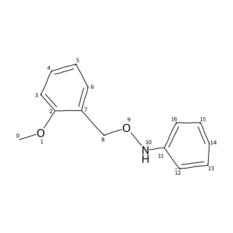 COc1ccccc1CONc1[c]cccc1